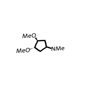 CNC1C[C@H](OC)[C@@H](OC)C1